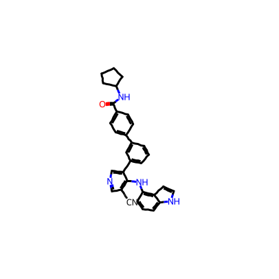 N#Cc1cncc(-c2cccc(-c3ccc(C(=O)NC4CCCC4)cc3)c2)c1Nc1cccc2[nH]ccc12